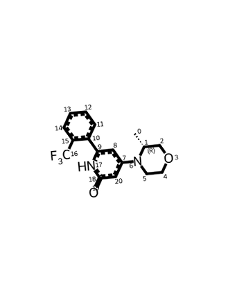 C[C@@H]1COCCN1c1cc(-c2ccccc2C(F)(F)F)[nH]c(=O)c1